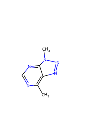 Cc1ncnc2c1nnn2C